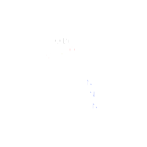 CC(C)COS(=O)(=O)CCCN=[N+]=[N-]